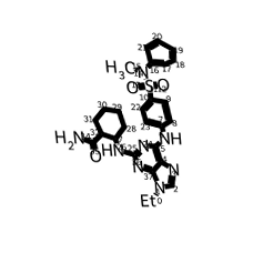 CCn1cnc2c(Nc3ccc(S(=O)(=O)N(C)c4ccccc4)cc3)nc(NC3CCCCC3C(N)=O)nc21